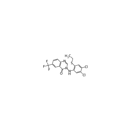 CCSc1cc(Cl)c(Cl)cc1Nn1cnc2ccc(C(F)(F)F)cc2c1=O